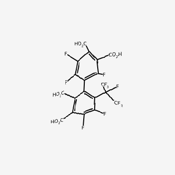 O=C(O)c1c(F)c(F)c(-c2c(C(=O)O)c(C(=O)O)c(F)c(F)c2C(F)(C(F)(F)F)C(F)(F)F)c(F)c1C(=O)O